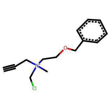 C#CC[N+](C)(CCl)CCOCc1ccccc1